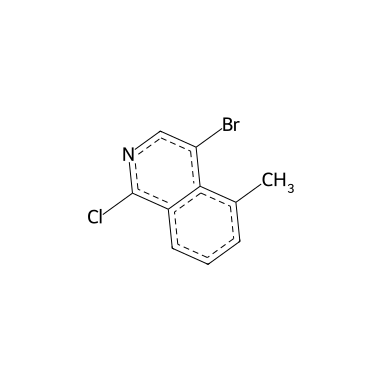 Cc1cccc2c(Cl)ncc(Br)c12